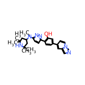 CN(c1ccc(-c2ccc(-c3ccn4cncc4c3)cc2O)nn1)C1CC(C)(C)NC(C)(C)C1